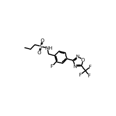 CCCS(=O)(=O)NCc1ccc(-c2noc(C(F)(F)F)n2)cc1F